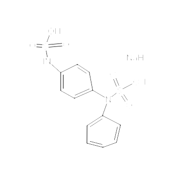 O=S(=O)(O)Nc1ccc(N(c2ccccc2)S(=O)(=O)O)cc1.[NaH]